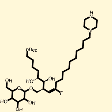 CCCCCCCCCCCCCC[C@@H](O)[C@@H](O)[C@@H](/C=C(/F)CCCCCCCCCCN1CCNCC1)COC1OC(CO)C(O)C(O)C1O